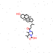 CC(C)C1C(C)N(C(=O)CCC(C)[C@H]2CC[C@H]3[C@@H]4CC=C5C[C@@H](O)CC[C@]5(C)[C@H]4CC[C@]23C)CCN1C(=O)O